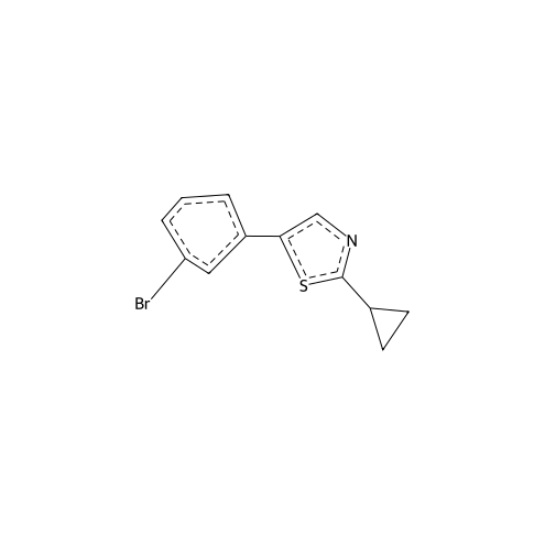 Brc1cccc(-c2cnc(C3CC3)s2)c1